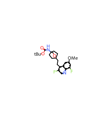 COc1cc(F)c2ncc(F)c(CCC34CCC(NC(=O)OC(C)(C)C)(CC3)CO4)c2c1